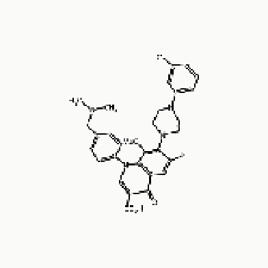 COc1c(N2CCN(c3cccc(Cl)c3)CC2)c(F)cc2c(=O)c(C(=O)O)cn(-c3ccc(CN(C)C)cc3)c12